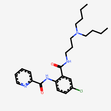 CCCCN(CCCC)CCCNC(=O)c1cc(Cl)ccc1NC(=O)c1ccccn1